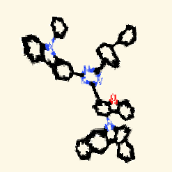 c1ccc(-c2ccc(-c3nc(-c4ccc5c6ccccc6n(-c6ccccc6)c5c4)nc(-c4ccc(-n5c6cc7ccccc7cc6c6c7ccccc7ccc65)c5c4oc4ccccc45)n3)cc2)cc1